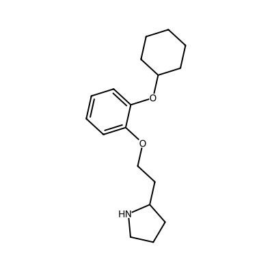 c1ccc(OC2CCCCC2)c(OCCC2CCCN2)c1